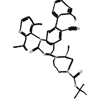 Cc1ccnc(C(C)C)c1-n1c(=O)nc(N2CCN(C(=O)OC(C)(C)C)C[C@@H]2C)c2cc(C#N)c(-c3ccccc3F)cc21